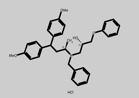 COc1ccc(C(C[C@@H](C)N(Cc2ccccc2)C[C@H](O)COc2ccccc2)c2ccc(OC)cc2)cc1.Cl